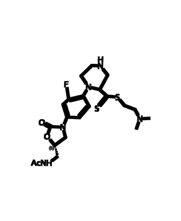 CC(=O)NC[C@H]1CN(c2ccc(N3CCNCC3C(=S)SCCN(C)C)c(F)c2)C(=O)O1